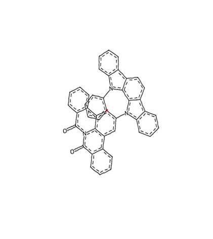 O=c1c2ccccc2c2cc(-n3c4ccccc4c4ccc5c6ccccc6n(-c6ccccc6)c5c43)cc3c4ccccc4c(=O)n1c23